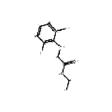 CCOC(=O)COc1c(F)cccc1F